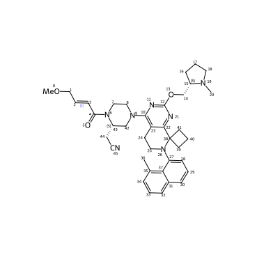 COC/C=C/C(=O)N1CCN(c2nc(OC[C@@H]3CCCN3C)nc3c2CCN(c2cccc4cccc(C)c24)C32CCC2)C[C@@H]1CC#N